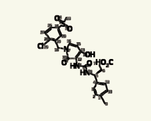 Cc1ccc([C@H](CC(=O)O)NC(=O)Nc2c(O)ccn(Cc3cc(S(C)(=O)=O)ccc3Cl)c2=O)cc1